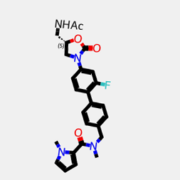 CC(=O)NC[C@H]1CN(c2ccc(-c3ccc(CN(C)C(=O)c4cccn4C)cc3)c(F)c2)C(=O)O1